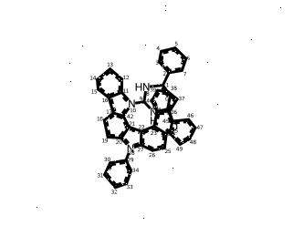 C1=C(c2ccccc2)NC(n2c3ccccc3c3ccc4c(c5c6c(ccc5n4-c4ccccc4)oc4ccccc46)c32)NC1c1ccccc1